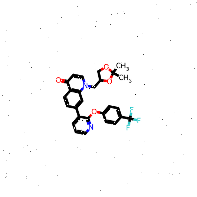 CC1(C)OCC(Cn2ccc(=O)c3ccc(-c4cccnc4Oc4ccc(C(F)(F)F)cc4)cc32)O1